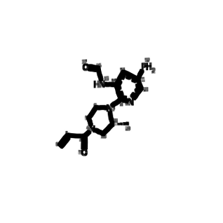 C=CC(=O)N1CCN(c2ncc(P)cc2NC=O)[C@H](C)C1